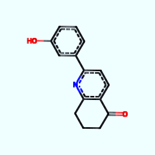 O=C1CCCc2nc(-c3cccc(O)c3)ccc21